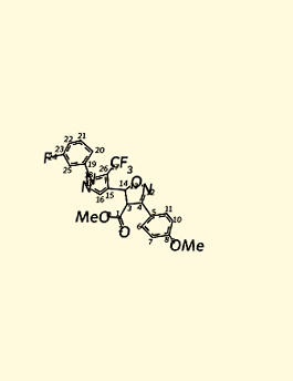 COC(=O)C1C(c2ccc(OC)cc2)=NOC1c1cnn(-c2cccc(F)c2)c1C(F)(F)F